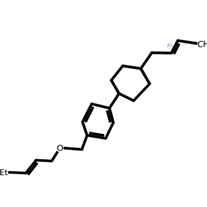 C/C=C/CC1CCC(c2ccc(COCC=CCC)cc2)CC1